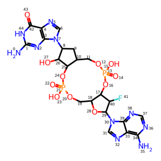 Nc1nc2c(ncn2C2CC3COP(=O)(O)OC4C(COP(=O)(O)OC3C2O)OC(n2cnc3c(N)ncnc32)C4F)c(=O)[nH]1